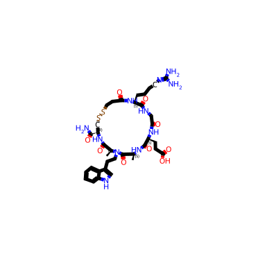 C[C@@H]1NC(=O)[C@H](CCC(=O)O)NC(=O)CNC(=O)[C@H](CCCCN=C(N)N)NC(=O)CCSSC[C@@H](C(N)=O)NC(=O)[C@H](C)N(CCc2c[nH]c3ccccc23)C1=O